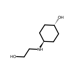 OCCN[C@H]1CC[C@H](O)CC1